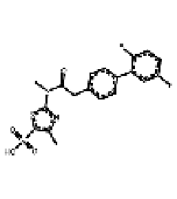 Cc1nc(N(C)C(=O)Cc2ccc(-c3cc(F)ccc3F)cc2)sc1S(=O)(=O)O